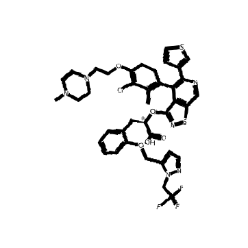 CC1=C(c2c(-c3ccsc3)ncc3snc(O[C@H](Cc4ccccc4OCc4ccnn4CC(F)(F)F)C(=O)O)c23)CCC(OCCN2CCN(C)CC2)=C1Cl